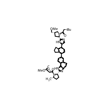 CC[C@H](C)CC(=O)N1C[C@@H](COC)C[C@H]1c1ncc(-c2ccc(-c3ccc4c(ccc5nc([C@@H]6CC[C@H](C)N6C(=O)C[C@@H](C)OC)[nH]c54)c3)c3c2CCC3)[nH]1